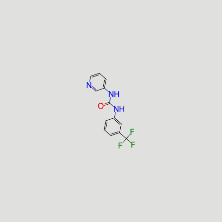 O=C(Nc1cccnc1)Nc1cccc(C(F)(F)F)c1